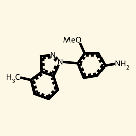 COc1cc(N)ccc1-n1ncc2c(C)cccc21